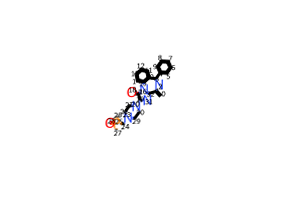 C=C1N=C(c2ccccc2)c2ccccc2N2C(=O)C(N3CCN(CP(C)(C)=O)CC3)N=C12